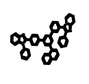 c1ccc(-c2nc3ccccn3c2-c2cccc(-c3cc(-c4ccc(-c5nc6ccccc6n5-c5ccccc5)cc4)cc(-c4cccc5ccccc45)c3)c2)cc1